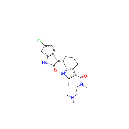 Cc1[nH]c2c(c1C(=O)N(C)CCN(C)C)CCC/C2=C1/C(=O)Nc2cc(Cl)ccc21